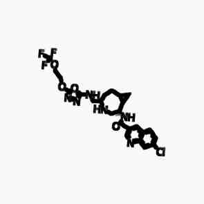 O=C(N[C@@H]1CNC(CNc2nnc(OCCOC(F)(F)F)o2)CCC2CC21)c1cnc2cc(Cl)ccc2c1